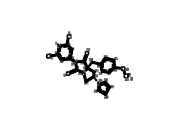 O=C1N(c2cc(Cl)nc(Cl)c2)C(=O)[C@]2(Cc3ccc(OC(F)(F)F)cc3)C[C@H](n3cccc3)CN12